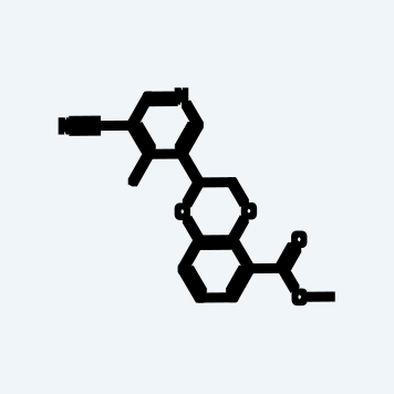 COC(=O)c1cccc2c1OCC(c1cncc(C#N)c1C)O2